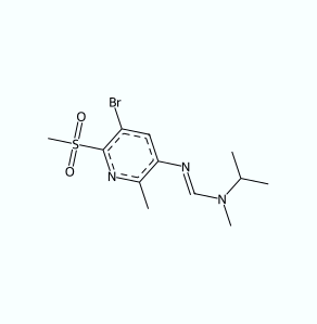 Cc1nc(S(C)(=O)=O)c(Br)cc1/N=C/N(C)C(C)C